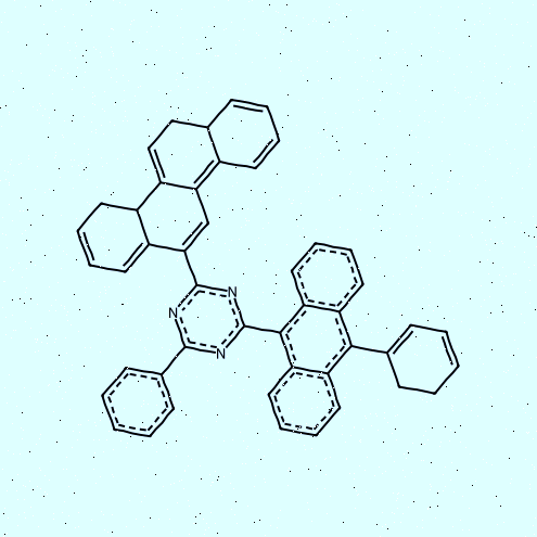 C1=CCCC(c2c3ccccc3c(-c3nc(C4=CC5=C6C=CC=CC6CC=C5C5CC=CC=C45)nc(-c4ccccc4)n3)c3ccccc23)=C1